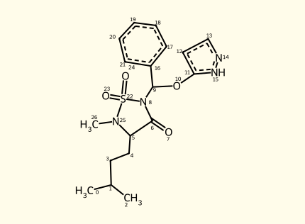 CC(C)CCC1C(=O)N(C(Oc2ccn[nH]2)c2ccccc2)S(=O)(=O)N1C